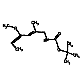 C/C=C(\C=C(/C)CNC(=O)OC(C)(C)C)OC